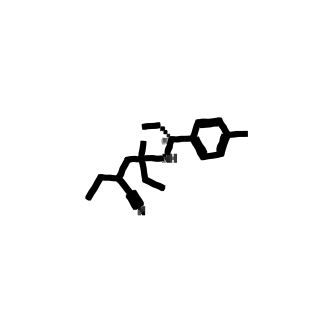 CCC(C#N)CC(C)(CC)N[C@H](CC)c1ccc(C)cc1